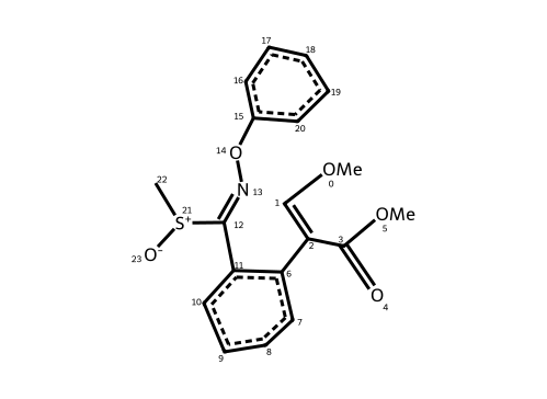 COC=C(C(=O)OC)c1ccccc1C(=NOc1ccccc1)[S+](C)[O-]